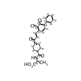 CC(NC(=O)C1CCN(C(=O)/C=C/c2ccc(-c3ccccc3)c(Cl)c2Cl)CC1)C(=O)O